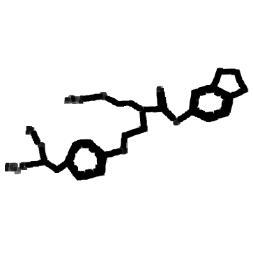 CCCCCOCCN(CCOc1ccc(CC(OCC)C(=O)O)cc1)C(=O)Oc1ccc2c(c1)CCC2